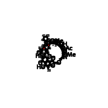 CO[C@@H]1[C@@H](C)[C@@H](O)[C@@H](C)[C@H](OC(C)=O)[C@H](C)[C@@H](OC)/C=C/O[C@@]2(C)Oc3c(C)c(O)c4c(c3C2=O)C(=O)C(/C=N/N2CCN(C3CCCC3)CC2)=C(NC(=O)/C(C)=C\C=C\[C@@H]1C)C4=O